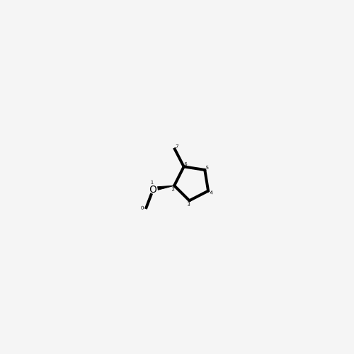 CO[C@@H]1CCCC1C